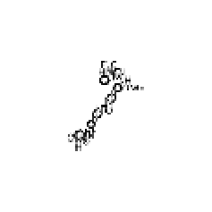 COc1cc(N2CCN(C(=O)CN3CCN(c4ccc5c(cnn5C5CCC(=O)NC5=O)c4)CC3)CC2)ccc1Nc1ncc(C(F)(F)F)c(Nc2ccccc2)n1